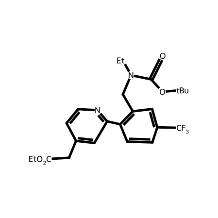 CCOC(=O)Cc1ccnc(-c2ccc(C(F)(F)F)cc2CN(CC)C(=O)OC(C)(C)C)c1